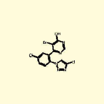 Oc1ncnc(-c2cc(Cl)ccc2-n2cc(Cl)nn2)c1Br